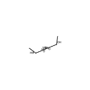 CCCCCCC(O)C/C=C\CCCCCCCC(=O)NCC(O)CNC(=O)CCCCCCC/C=C\CC(O)CCCCCC